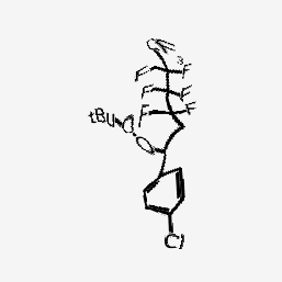 CC(C)(C)OOC(CC(F)(F)C(F)(F)C(F)(F)C(F)(F)F)c1ccc(Cl)cc1